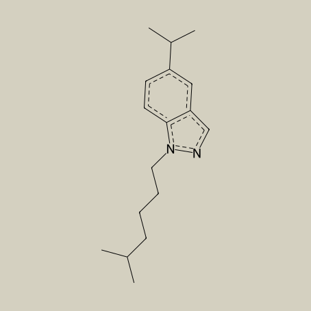 CC(C)CCCCn1ncc2cc(C(C)C)ccc21